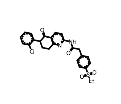 CCS(=O)(=O)c1ccc(CC(=O)Nc2ccc3c(n2)CCC(c2ccccc2Cl)C3=O)cc1